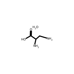 NCC(N)C(=O)O.O